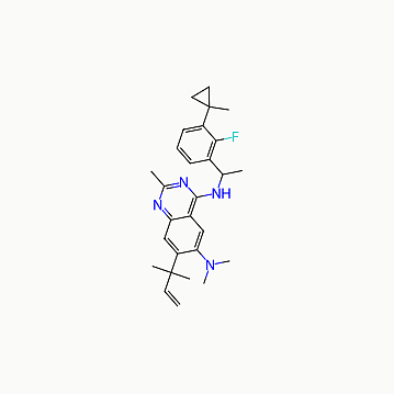 C=CC(C)(C)c1cc2nc(C)nc(NC(C)c3cccc(C4(C)CC4)c3F)c2cc1N(C)C